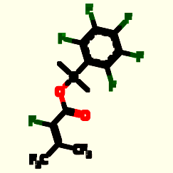 C[Si](C)(OC(=O)C(F)=C(C(F)(F)F)C(F)(F)F)c1c(F)c(F)c(F)c(F)c1F